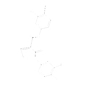 Cc1ccc(OC(=O)C(=CN)C(=O)Oc2ccc(C)c(Br)c2)cc1Br